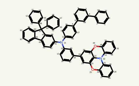 c1ccc(-c2cccc(-c3ccc(N(c4cccc(-c5cc6c7c(c5)Oc5ccccc5N7c5ccccc5O6)c4)c4ccc5c(c4)C(c4ccccc4)(c4ccccc4)c4ccccc4-5)cc3)c2)cc1